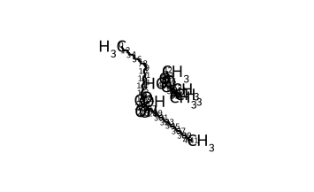 CCCCCCCC/C=C\CCCCCCCC(=O)O[C@@H](CO)C(O)C(=O)CCCCCCCCCCCCCCC.CCOP(=O)(O)OCC[N+](C)(C)C